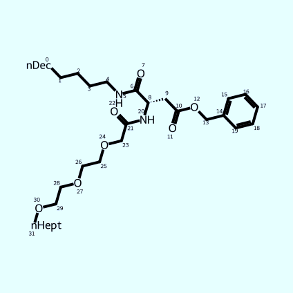 CCCCCCCCCCCCCCNC(=O)[C@H](CC(=O)OCc1ccccc1)NC(=O)COCCOCCOCCCCCCC